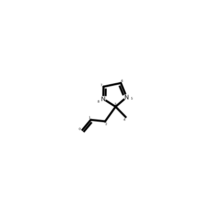 C=C[CH]C1(C)N=CC=N1